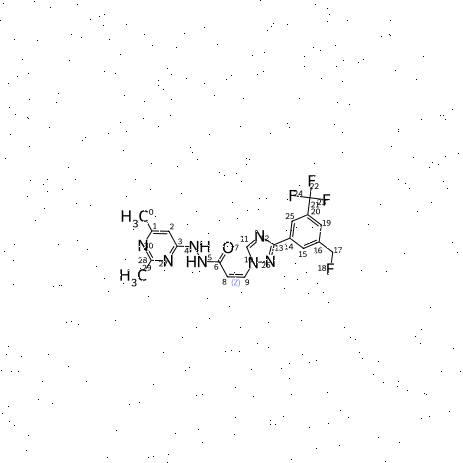 Cc1cc(NNC(=O)/C=C\n2cnc(-c3cc(CF)cc(C(F)(F)F)c3)n2)nc(C)n1